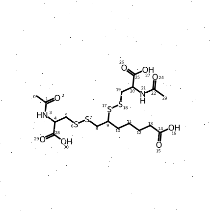 CC(=O)NC(CSSCC(CCCCC(=O)O)SSCC(NC(C)=O)C(=O)O)C(=O)O